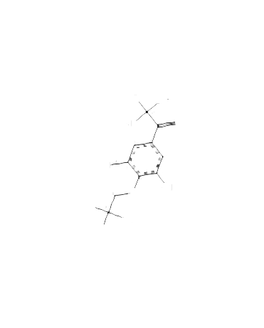 C=C(c1cc(Cl)c(OCC(F)(F)F)c(Cl)c1)C(F)(F)F